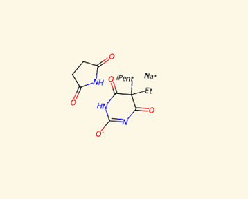 CCCC(C)C1(CC)C(=O)N=C([O-])NC1=O.O=C1CCC(=O)N1.[Na+]